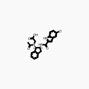 CC(=O)N(CC(=O)O)[C@@H]1c2ccccc2C[C@H]1NC(=O)c1cc2cc(Cl)ccc2[nH]1